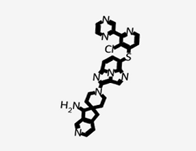 NC1c2cnccc2CC12CCN(c1nc3ccc(Sc4ccnc(-c5cnccn5)c4Cl)c4ncc1n34)CC2